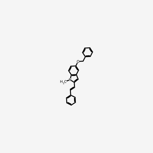 Cn1c(/C=C/c2ccccc2)cc2cc(OCc3ccccc3)ccc21